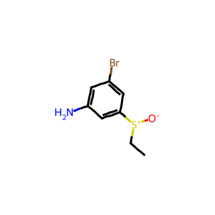 CC[S+]([O-])c1cc(N)cc(Br)c1